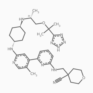 Cc1cnc(N[C@H]2CC[C@H](N[C@H](C)COC(C)(C)c3nn[nH]n3)CC2)cc1-c1cccc(NCC2(C#N)CCOCC2)n1